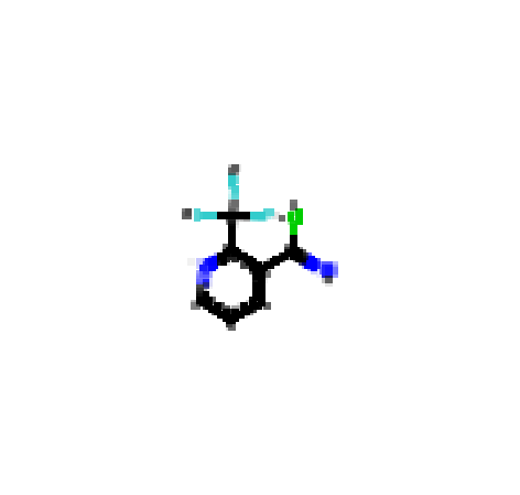 N=C(Cl)c1cccnc1C(F)(F)F